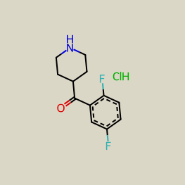 Cl.O=C(c1cc(F)ccc1F)C1CCNCC1